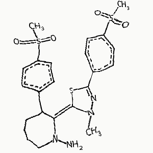 CN1N=C(c2ccc(S(C)(=O)=O)cc2)SC1=C1C(c2ccc(S(C)(=O)=O)cc2)CCCN1N